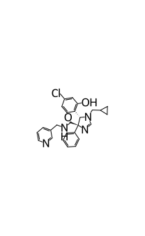 O=C(NCc1cccnc1)[C@]1(c2ccccc2)N=CN(CC2CC2)[C@H]1c1ccc(Cl)cc1O